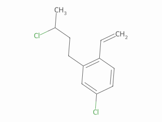 C=Cc1ccc(Cl)cc1CCC(C)Cl